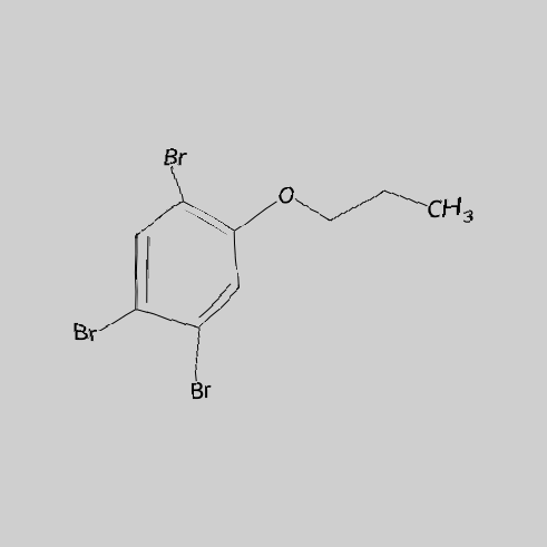 CCCOc1cc(Br)c(Br)cc1Br